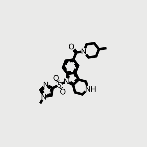 CC1CCN(C(=O)c2ccc3c(c2)c2c(n3S(=O)(=O)c3cn(C)cn3)CCNC2)CC1